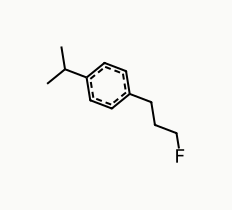 CC(C)c1ccc(CCCF)cc1